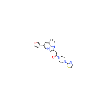 O=C(Cc1cn2cc(-c3ccoc3)cc(C(F)(F)F)c2n1)N1CCN(c2nccs2)CC1